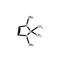 CC(C)(C)N1C=CN(C(C)(C)C)[Si]1(C)C